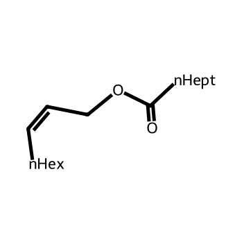 CCCCCC/C=C\COC(=O)CCCCCCC